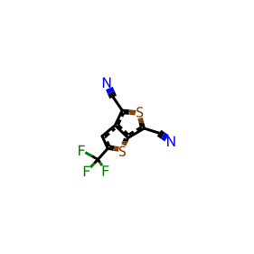 N#Cc1sc(C#N)c2sc(C(F)(F)F)cc12